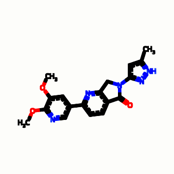 COc1cc(-c2ccc3c(n2)CN(c2cc(C)[nH]n2)C3=O)cnc1OC